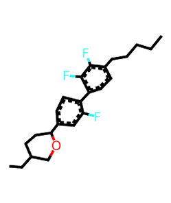 CCCCCc1ccc(-c2ccc(C3CCC(CC)CO3)cc2F)c(F)c1F